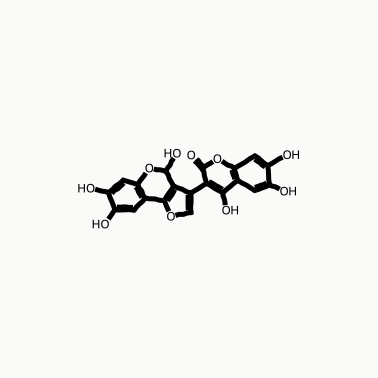 O=c1oc2cc(O)c(O)cc2c(O)c1-c1coc2c1C(O)Oc1cc(O)c(O)cc1-2